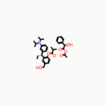 CC(=O)OC(=O)C(O)c1ccccc1.CC[C@H](c1cccc(N(C(C)C)C(C)C)c1)c1cc(CO)ccc1OC(=O)C(C)C